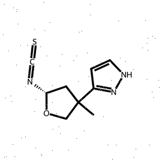 CC1(c2cc[nH]n2)CO[C@H](N=C=S)C1